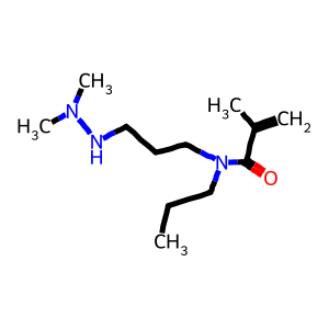 C=C(C)C(=O)N(CCC)CCCNN(C)C